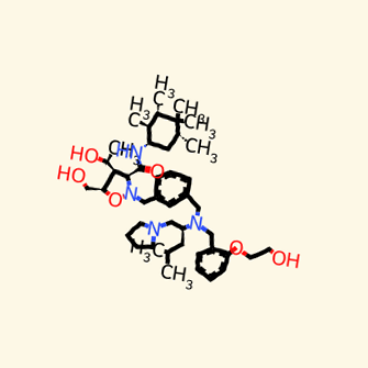 CC(C)C[C@@H](CN1CCCC1)N(Cc1cccc(CN2O[C@@H](CO)[C@@H]([C@H](C)O)[C@H]2C(=O)N[C@H]2C[C@@H](C)C(C)(C)[C@@H](C)[C@@H]2C)c1)Cc1ccccc1OCCO